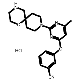 Cc1cc(Oc2cccc(C#N)c2)nc(N2CCC3(CC2)CNCCO3)n1.Cl